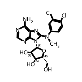 CN(c1ccc(Cl)c(Cl)c1)c1nc2c(N)ncnc2n1[C@@H]1O[C@H](CO)[C@@H](O)[C@H]1O